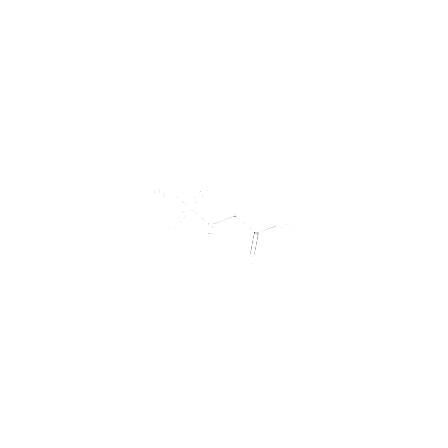 CS(=O)(=O)N[CH]C(=O)O